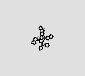 c1ccc(N(c2ccccc2)c2cc(N(c3ccc4ccccc4c3)c3ccc4c(c3)sc3ccccc34)c3oc4ccc5ccccc5c4c3c2)cc1